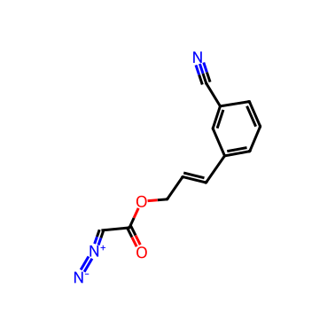 N#Cc1cccc(C=CCOC(=O)C=[N+]=[N-])c1